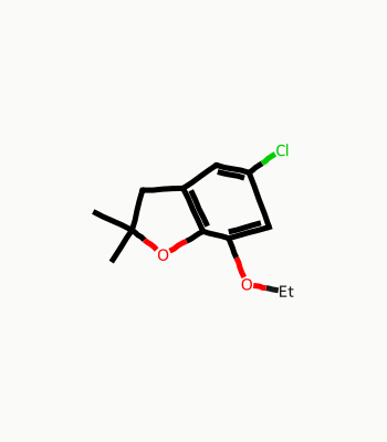 CCOc1cc(Cl)cc2c1OC(C)(C)C2